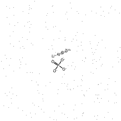 O=P([O-])([O-])[O-].[Al+3].[Al+3].[Li+].[Ti+4]